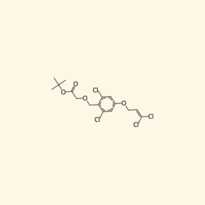 CC(C)(C)OC(=O)COCc1c(Cl)cc(OCC=C(Cl)Cl)cc1Cl